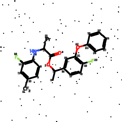 CC(OC(=O)C(Nc1ccc(C(F)(F)F)cc1F)C(C)C)c1ccc(F)c(Oc2ccccc2)c1